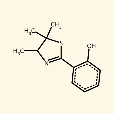 CC1N=C(c2ccccc2O)SC1(C)C